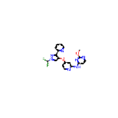 COc1nccc(Nc2cc(Oc3cn(C(F)F)nc3-c3ccccn3)ccn2)n1